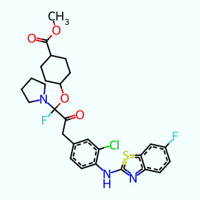 COC(=O)C1CCC(OC(F)(C(=O)Cc2ccc(Nc3nc4ccc(F)cc4s3)c(Cl)c2)N2CCCC2)CC1